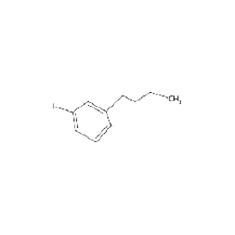 CCCCc1[c]ccc(I)c1